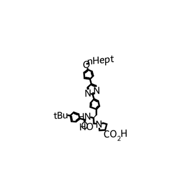 CCCCCCCOc1ccc(-c2cnc(-c3ccc(C[C@H](NC(=O)c4ccc(C(C)(C)C)cc4)C(O)N4CC[C@H](C(=O)O)C4)cc3)nc2)cc1